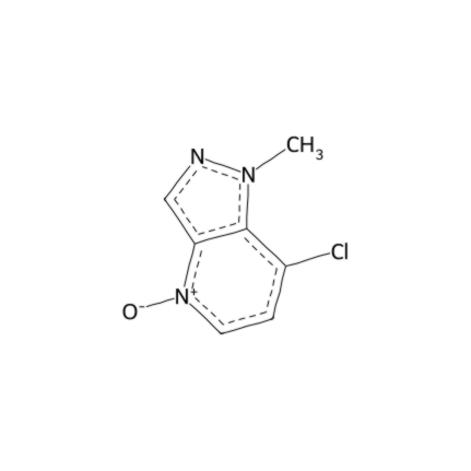 Cn1ncc2c1c(Cl)cc[n+]2[O-]